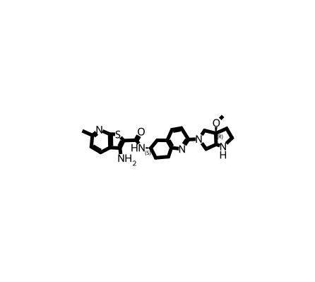 CO[C@@]12CCNC1CN(c1ccc3c(n1)CC[C@H](NC(=O)c1sc4nc(C)ccc4c1N)C3)C2